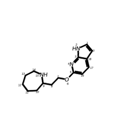 [c]1c[nH]c2nc(OCCC3CCCCCN3)ccc12